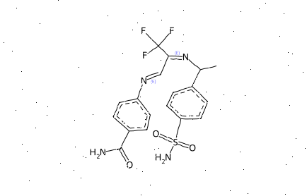 CC(/N=C(\C=N\c1ccc(C(N)=O)cc1)C(F)(F)F)c1ccc(S(N)(=O)=O)cc1